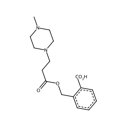 CN1CCN(CCC(=O)OCc2ccccc2C(=O)O)CC1